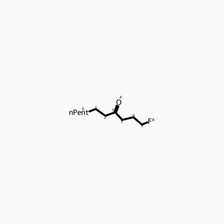 CCCCCCCC(=O)CCCF